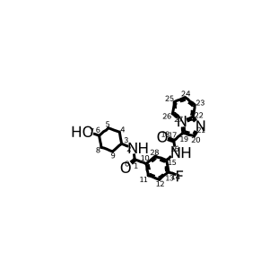 O=C(NC1CCC(O)CC1)c1ccc(F)c(NC(=O)c2cnc3ccccn23)c1